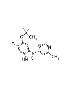 Cc1cc(-c2n[nH]c3cc(F)c(OC4(C)CC4)cc23)ncn1